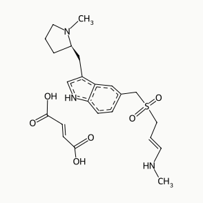 CNC=CCS(=O)(=O)Cc1ccc2[nH]cc(C[C@H]3CCCN3C)c2c1.O=C(O)/C=C/C(=O)O